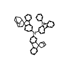 c1ccc(-n2c3ccccc3c3ccc(N(c4ccc5c(c4)-c4ccccc4C54C5CCC6CC(C5)CC4C6)c4ccc5c(c4)C4(CC6CCC4C6)c4ccccc4-5)cc32)cc1